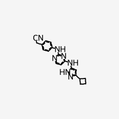 N#CCc1ccc(Nc2nccc(Nc3cc(C4CCC4)n[nH]3)n2)cc1